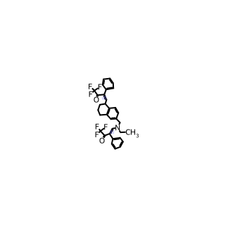 CCN(/C=C(/C(=O)C(F)(F)F)c1ccccc1)Cc1ccc2c(c1)CCCC2/C=C(\C(=O)C(F)(F)F)c1ccccc1